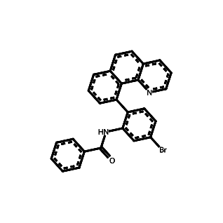 O=C(Nc1cc(Br)ccc1-c1cccc2ccc3cccnc3c12)c1ccccc1